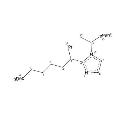 CCCCCCCCCCCCCCC(c1nccn1C(C)CCCCC)C(C)C